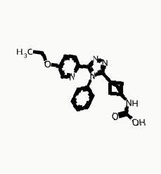 CCOc1ccc(-c2nnc(C34CC(NC(=O)O)(C3)C4)n2-c2ccccc2)nc1